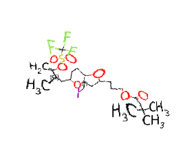 C=C(OS(=O)(=O)C(F)(F)F)[C@H](C)CC1CCC2OC(CCCOC(=O)C(C)(C)C)C[C@]2(CI)O1